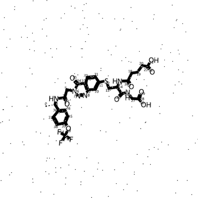 C[C@H](NC(=O)Cn1nnc2cc(SCC(NC(=O)CCCC(=O)O)C(=O)NCC(=O)O)ccc2c1=O)c1ccc(OC(F)(F)F)cc1